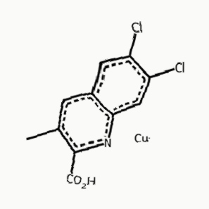 Cc1cc2cc(Cl)c(Cl)cc2nc1C(=O)O.[Cu]